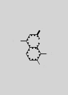 CC(=O)Oc1ccc2c(C)cc(=O)oc2c1OC(C)=O